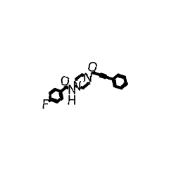 O=C(NN1CCN(C(=O)C#Cc2ccccc2)CC1)c1ccc(F)cc1